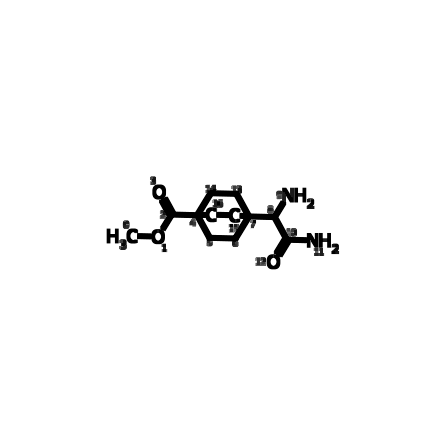 COC(=O)C12CCC(C(N)C(N)=O)(CC1)CC2